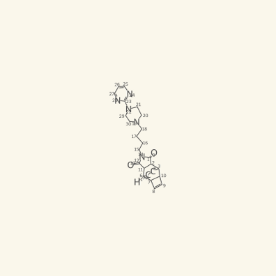 O=C1C2C3CC[C@@H](C4C=CC34)C2C(=O)N1CCCCN1CCN(c2ncccn2)CC1